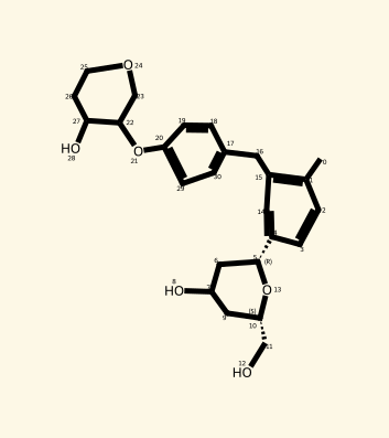 Cc1ccc([C@H]2CC(O)C[C@@H](CO)O2)cc1Cc1ccc(OC2COCCC2O)cc1